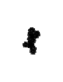 c1ccc(-c2nc(-c3ccc4ccccc4c3)nc(-c3cccc4c(-n5c6ccc7ccccc7c6c6c7ccccc7ccc65)cccc34)n2)cc1